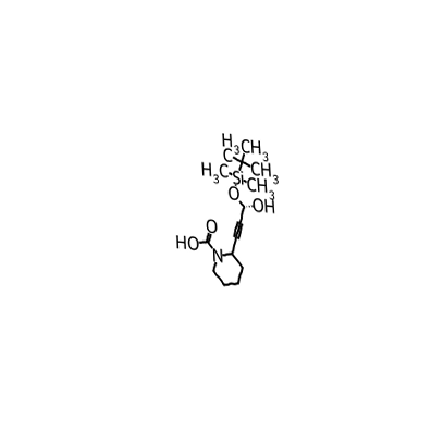 CC(C)(C)[Si](C)(C)O[C@H](O)C#CC1CCCCN1C(=O)O